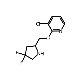 FC1(F)CNC(COc2ncccc2Cl)C1